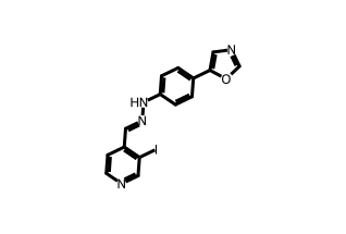 Ic1cnccc1C=NNc1ccc(-c2cnco2)cc1